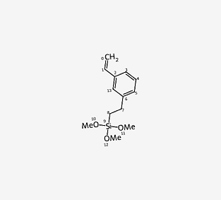 C=Cc1cccc(CC[Si](OC)(OC)OC)c1